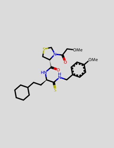 COCC(=O)N1CSC[C@H]1C(=O)N[C@H](CCC1CCCCC1)C(=S)NCc1ccc(OC)cc1